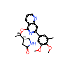 COc1cc(-c2cc3ncccc3c(O[C@H](C)[C@H]3CNC(=O)C3)n2)cc(C)c1OC